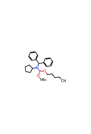 CCCCOP(OCCCCC#N)N(C1CCCC1)C(c1ccccc1)c1ccccc1